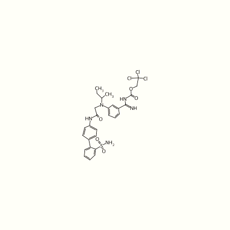 CCC(C)N(CC(=O)Nc1ccc(-c2ccccc2S(N)(=O)=O)cc1)c1cccc(C(=N)NC(=O)OCC(Cl)(Cl)Cl)c1